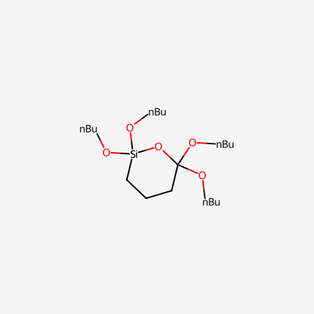 CCCCOC1(OCCCC)CCC[Si](OCCCC)(OCCCC)O1